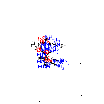 CC(C)NCCCCC(N)C(=O)N[C@H](C(=O)N[C@@H](C)C(=O)NCC(=O)N[C@H](CCCN)C(=O)N1CCC[C@H]1C(=O)N[C@@H](Cc1cnc[nH]1)C(=O)N[C@@H](CCCCN)C(=O)N/C(=C\CCNC(=N)N)C(=O)O)[C@@H](O)CN